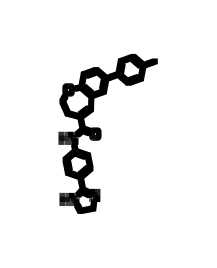 Cc1ccc(-c2ccc3c(c2)C=C(C(=O)Nc2ccc(C4=NCCN4)cc2)CCO3)cc1